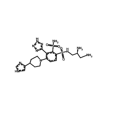 NC[C@H](N)CNS(=O)(=O)c1ccc(N2CCC(c3c[nH]cn3)CC2)c(-c2nn[nH]n2)c1S(N)(=O)=O